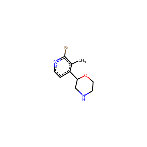 Cc1c(C2CNCCO2)ccnc1Br